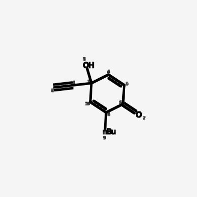 C#CC1(O)C=CC(=O)C(CCCC)=C1